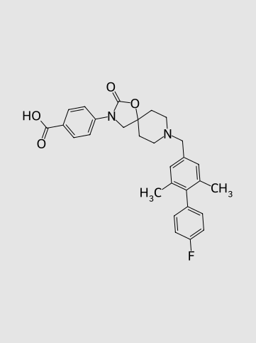 Cc1cc(CN2CCC3(CC2)CN(c2ccc(C(=O)O)cc2)C(=O)O3)cc(C)c1-c1ccc(F)cc1